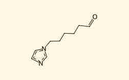 O=CCCCCCn1ccnc1